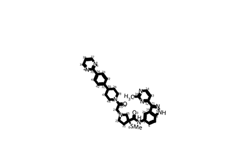 CS[C@@]1(C(=O)Nc2ccc3[nH]nc(-c4ccnc(C)n4)c3c2)CCN(CC(=O)N2CCC(c3ccc(-c4ncccn4)cc3)CC2)C1